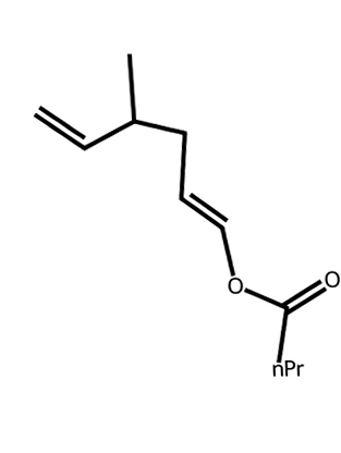 C=CC(C)CC=COC(=O)CCC